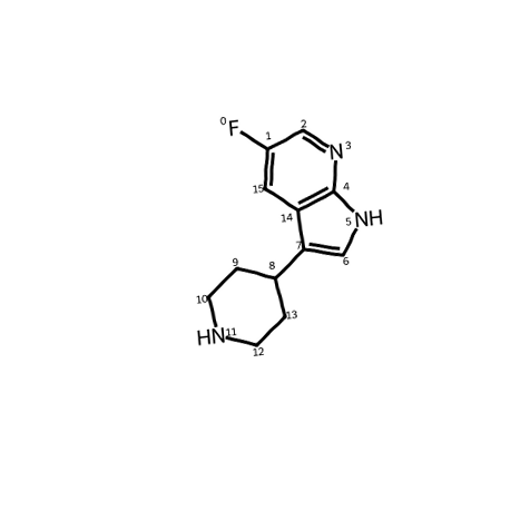 Fc1cnc2[nH]cc(C3CCNCC3)c2c1